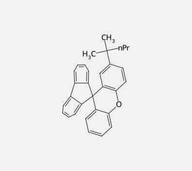 CCCC(C)(C)c1ccc2c(c1)C1(c3ccccc3O2)c2ccccc2-c2ccccc21